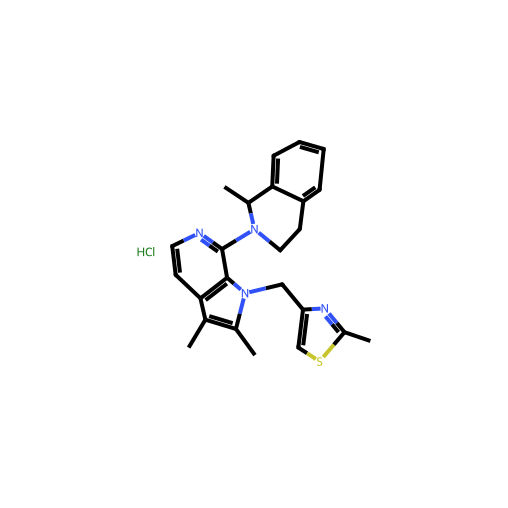 Cc1nc(Cn2c(C)c(C)c3ccnc(N4CCc5ccccc5C4C)c32)cs1.Cl